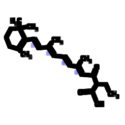 CCC(C(=O)O)C(=O)/C=C(C)/C=C/C=C(C)/C=C/C1=C(C)CCCC1(C)C